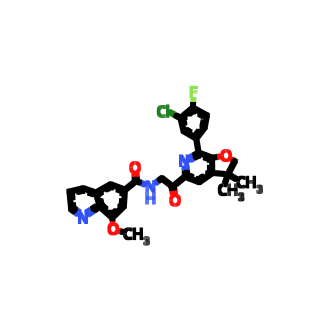 COc1cc(C(=O)NCC(=O)c2cc3c(c(-c4ccc(F)c(Cl)c4)n2)OCC3(C)C)cc2cccnc12